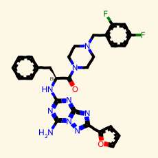 Nc1nc(N[C@@H](Cc2ccccc2)C(=O)N2CCN(Cc3ccc(F)cc3F)CC2)nc2nc(-c3ccco3)nn12